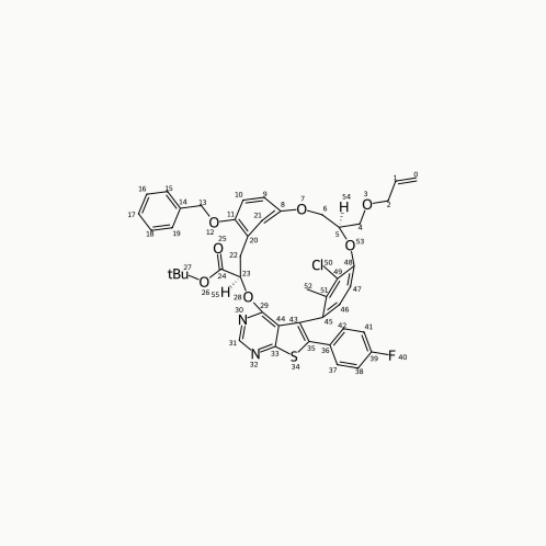 C=CCOC[C@@H]1COc2ccc(OCc3ccccc3)c(c2)C[C@H](C(=O)OC(C)(C)C)Oc2ncnc3sc(-c4ccc(F)cc4)c(c23)-c2ccc(c(Cl)c2C)O1